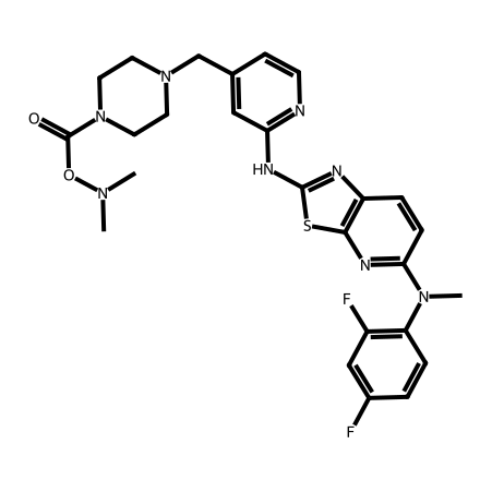 CN(C)OC(=O)N1CCN(Cc2ccnc(Nc3nc4ccc(N(C)c5ccc(F)cc5F)nc4s3)c2)CC1